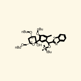 CCCCOC[C@@H]1C[C@H](OCCCC)CC(O)(c2cc(C(O[Si](C)(C)C(C)(C)C)c3nc4ccccc4s3)c(C)cc2OCCCC)O1